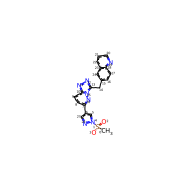 CS(=O)(=O)n1cc(-c2ccc3nnc(Cc4ccc5ncccc5c4)n3n2)cn1